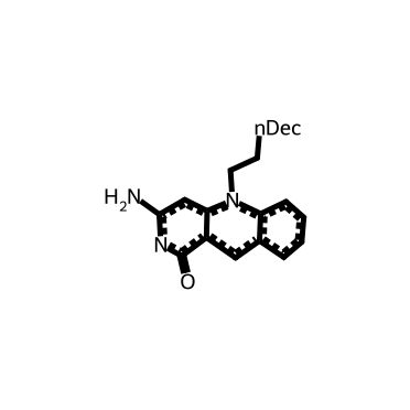 CCCCCCCCCCCCn1c2cc(N)nc(=O)c-2cc2ccccc21